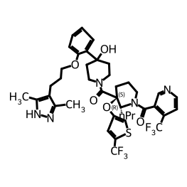 CCC[C@H]1N(C(=O)c2cnccc2C(F)(F)F)CCC[C@@]1(Oc1csc(C(F)(F)F)c1)C(=O)N1CCC(O)(c2ccccc2OCCCc2c(C)n[nH]c2C)CC1